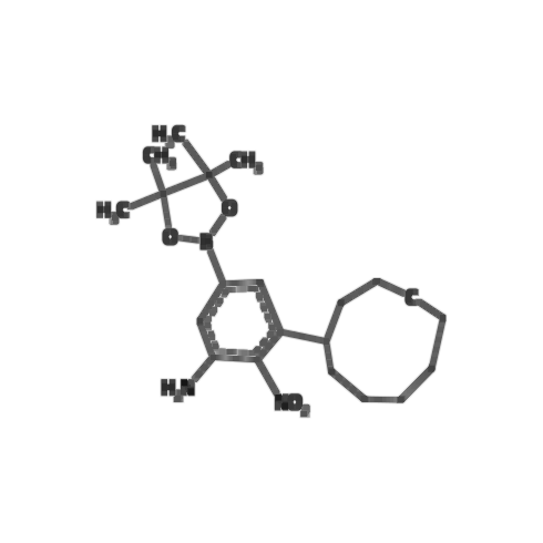 CC1(C)OB(c2cc(N)c([N+](=O)[O-])c(C3CCCCCCCC3)c2)OC1(C)C